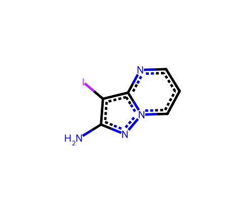 Nc1nn2cccnc2c1I